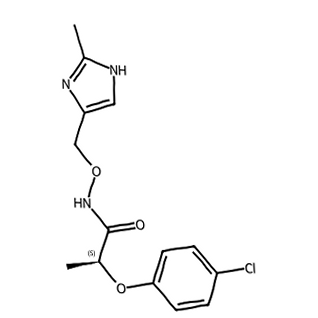 Cc1nc(CONC(=O)[C@H](C)Oc2ccc(Cl)cc2)c[nH]1